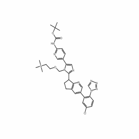 CC(C)(C)OC(=O)Nc1ccc(-c2cnc(C3CCc4cc(-c5cc(Cl)ccc5-n5cnnn5)cnc43)n2COCC[Si](C)(C)C)cn1